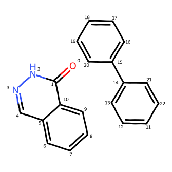 O=c1[nH]ncc2ccccc12.c1ccc(-c2ccccc2)cc1